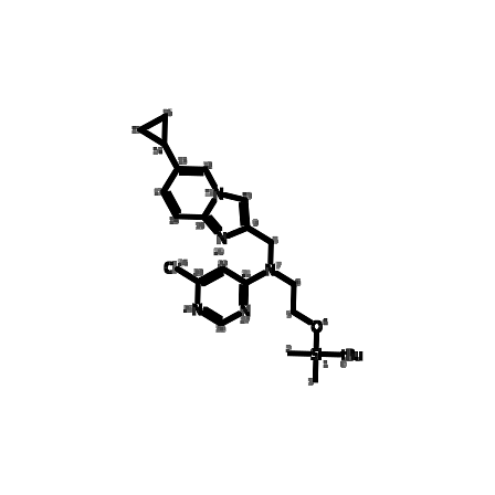 CC(C)(C)[Si](C)(C)OCCN(Cc1cn2cc(C3CC3)ccc2n1)c1cc(Cl)ncn1